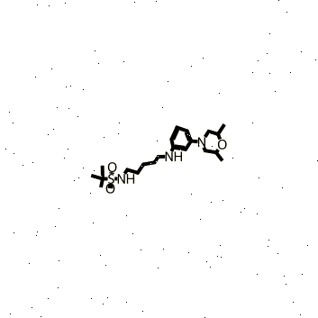 CC1CN(c2cccc(NCCCCCNS(=O)(=O)C(C)(C)C)c2)CC(C)O1